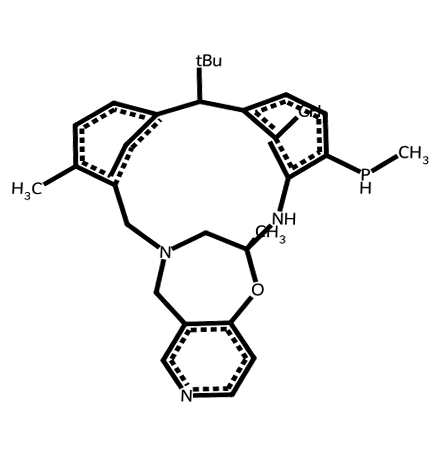 CPc1ccc2c(C)c1NC1(C)CN(Cc3cc(ccc3C)C2C(C)(C)C)Cc2cnccc2O1